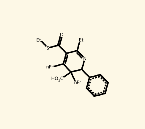 CCCC1=C(C(=O)SCC)C(CC)=NC(c2ccccc2)C1(CCC)C(=O)O